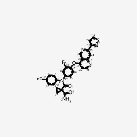 NC(=O)C1(C(=O)N(c2ccc(F)cc2)c2ccc(Oc3ccnc4cc(-c5ccsn5)ncc34)c(F)c2)CC1